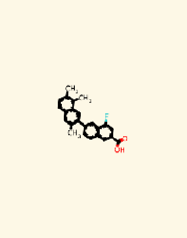 Cc1cc2ccc(C)c(C)c2cc1-c1ccc2cc(C(=O)O)cc(F)c2c1